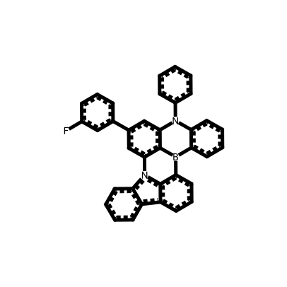 Fc1cccc(-c2cc3c4c(c2)-n2c5ccccc5c5cccc(c52)B4c2ccccc2N3c2ccccc2)c1